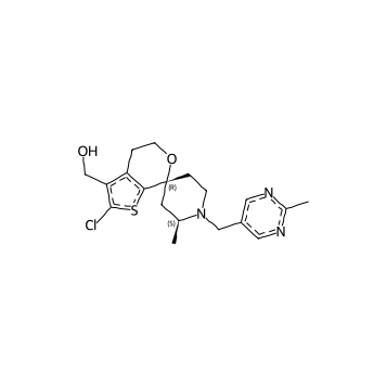 Cc1ncc(CN2CC[C@]3(C[C@@H]2C)OCCc2c3sc(Cl)c2CO)cn1